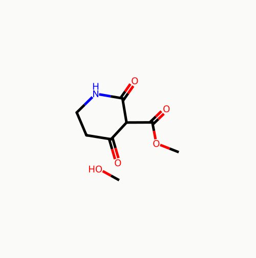 CO.COC(=O)C1C(=O)CCNC1=O